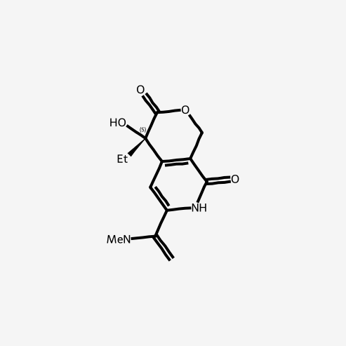 C=C(NC)c1cc2c(c(=O)[nH]1)COC(=O)[C@]2(O)CC